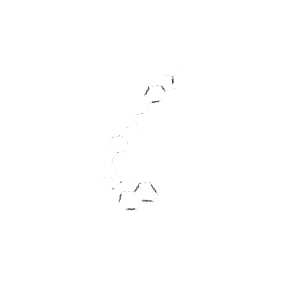 Cc1nc2cc(OC[C@H](O)CN3CCN(CCNS(=O)(=O)c4cccc5ccccc45)CC3)ccc2s1